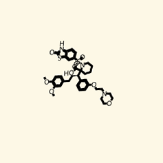 COc1ccc(CC[C@H](c2cccc(OCCN3CCOCC3)c2)C2(C(=O)O)CCCCN2S(=O)(=O)c2ccc3[nH]c(=O)sc3c2)cc1OC